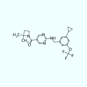 CC1(C)CCN1C(=O)c1cnc(NCc2cc(OC(F)(F)F)cc(C3CC3)c2)nc1